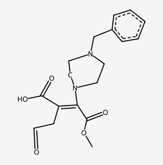 COC(=O)C(=C(CC=O)C(=O)O)N1CCN(Cc2ccccc2)CC1